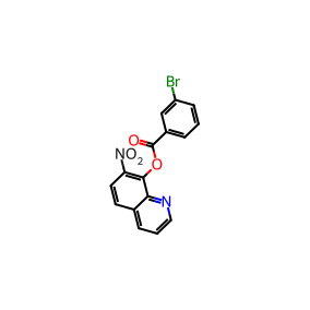 O=C(Oc1c([N+](=O)[O-])ccc2cccnc12)c1cccc(Br)c1